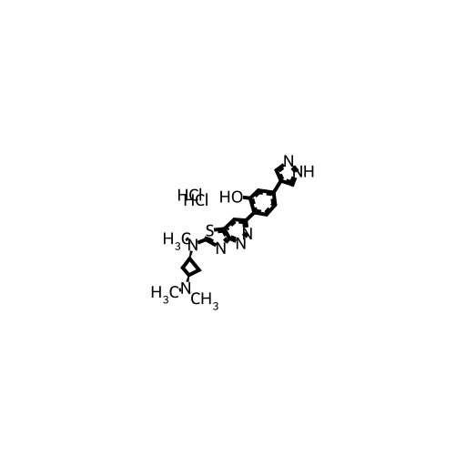 CN(C)[C@H]1C[C@@H](N(C)c2nc3nnc(-c4ccc(-c5cn[nH]c5)cc4O)cc3s2)C1.Cl.Cl